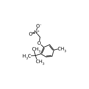 Cc1ccc(C(C)(C)C)c(OC[N+](=O)[O-])c1